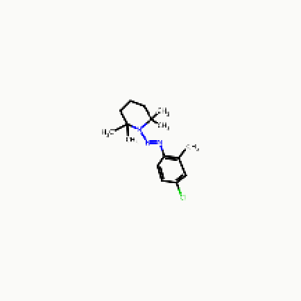 Cc1cc(Cl)ccc1/N=N/N1C(C)(C)CCCC1(C)C